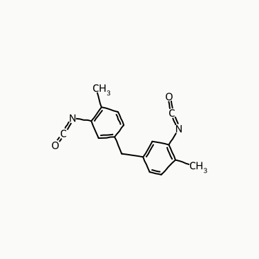 Cc1ccc(Cc2ccc(C)c(N=C=O)c2)cc1N=C=O